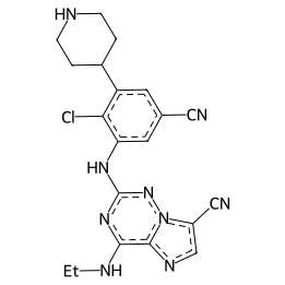 CCNc1nc(Nc2cc(C#N)cc(C3CCNCC3)c2Cl)nn2c(C#N)cnc12